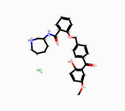 COc1ccc(O)c(C(=O)c2ccc(COc3ccccc3C(=O)NC3CCCCNC3)cc2)c1.Cl